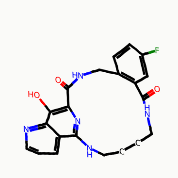 O=C1NCCCCNc2nc(c(O)c3ncccc23)C(=O)NCc2ccc(F)cc21